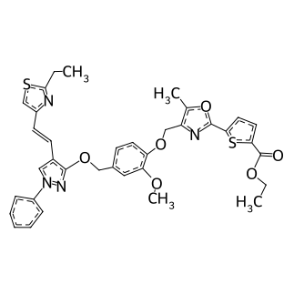 CCOC(=O)c1ccc(-c2nc(COc3ccc(COc4nn(-c5ccccc5)cc4C=Cc4csc(CC)n4)cc3OC)c(C)o2)s1